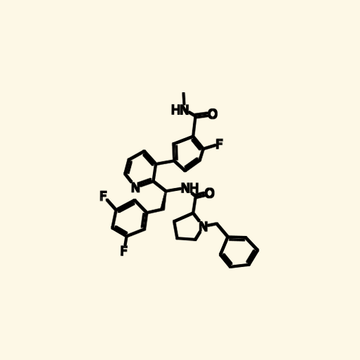 CNC(=O)c1cc(-c2cccnc2[C@H](Cc2cc(F)cc(F)c2)NC(=O)C2CCCN2Cc2ccccc2)ccc1F